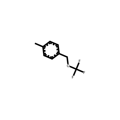 Cc1ccc(COC(F)(F)F)cc1